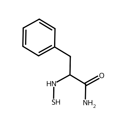 NC(=O)C(Cc1ccccc1)NS